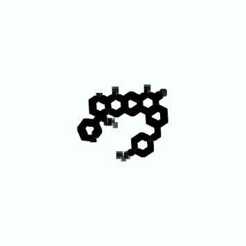 CN1CCN(Cc2ccc3c(=O)[nH]c4cc5c(cc4c3c2)CN2C(=NC=CC2(C)c2cccnc2)N5)CC1